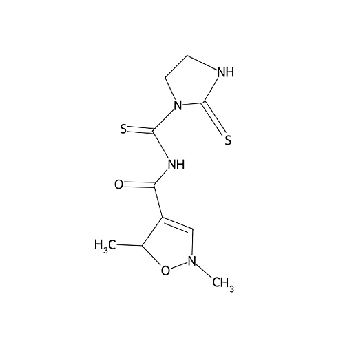 CC1ON(C)C=C1C(=O)NC(=S)N1CCNC1=S